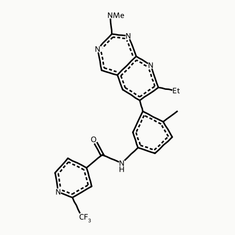 CCc1nc2nc(NC)ncc2cc1-c1cc(NC(=O)c2ccnc(C(F)(F)F)c2)ccc1C